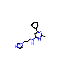 Cc1nc(NCCCn2ccnc2)cc(-c2ccccc2)n1